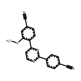 COc1cc(C#N)ccc1-c1ccnc(-c2ccc(C#N)cc2)n1